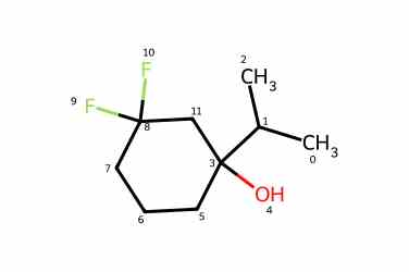 CC(C)C1(O)CCCC(F)(F)C1